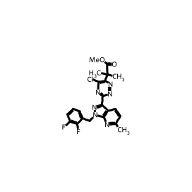 COC(=O)C(C)(C)c1nnc(-c2nn(Cc3cccc(F)c3F)c3nc(C)ccc23)nc1Cl